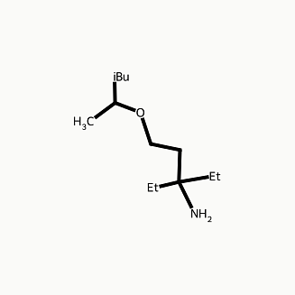 CCC(C)C(C)OCCC(N)(CC)CC